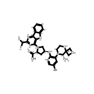 C[C@@H]1N(c2cc(Br)cnc2O[C@H]2C[C@@H](C(=O)O)N(c3nc(C(F)F)nc4c3oc3ccccc34)C2)CCOC12COC2